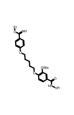 CCCNC(=O)c1ccc(OCCCCCOc2ccc(C(=N)OCC)cc2)c(OC)c1